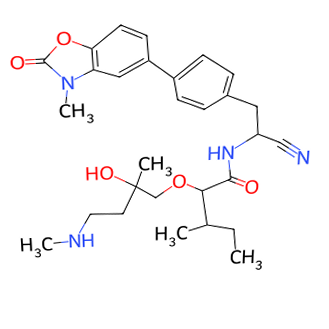 CCC(C)C(OCC(C)(O)CCNC)C(=O)NC(C#N)Cc1ccc(-c2ccc3oc(=O)n(C)c3c2)cc1